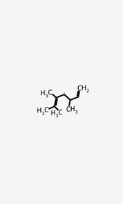 C=CC(C)[CH]C(C)=C(C)C